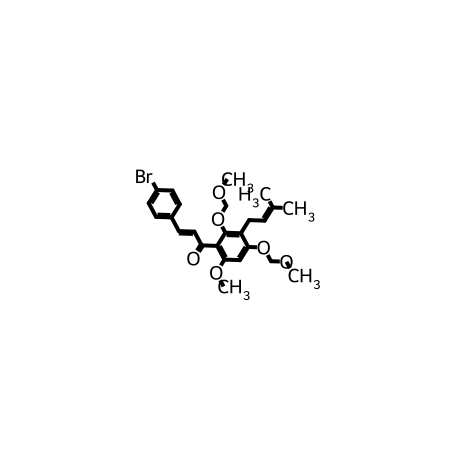 COCOc1cc(OC)c(C(=O)/C=C/c2ccc(Br)cc2)c(OCOC)c1CC=C(C)C